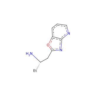 CC[C@H](N)Cc1nc2ncccc2o1